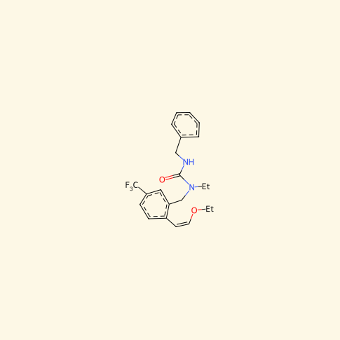 CCO/C=C\c1ccc(C(F)(F)F)cc1CN(CC)C(=O)NCc1ccccc1